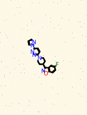 Fc1ccc2onc(C3CCN(c4ccc(-n5cccn5)nn4)CC3)c2c1